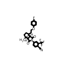 CC12CCC(CCOc3ccc(F)cc3)(O1)[C@@H]1C(=O)N(c3ccc(C#N)c(C(F)(F)F)c3)C(=O)[C@@H]12